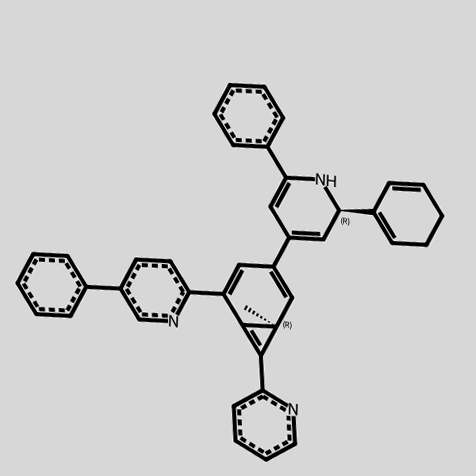 C[C@@]12C=C(C3=C[C@H](C4=CCCC=C4)NC(c4ccccc4)=C3)C=C(c3ccc(-c4ccccc4)cn3)C1=C2c1ccccn1